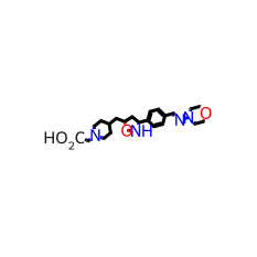 O=C(O)CN1CCC(CC2CC(c3ccc(C=NN4CCOCC4)cc3)NO2)CC1